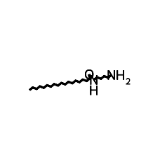 CCCCCCCCCCCCCCCCCC(=O)NCCCCN